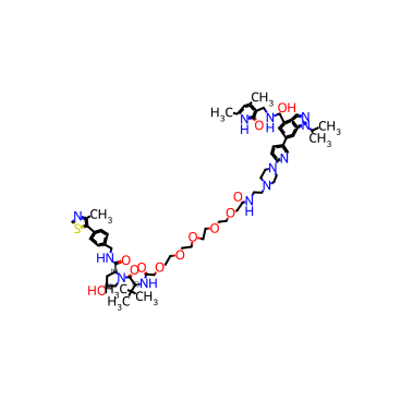 Cc1cc(C)c(CNC(O)c2cc(-c3ccc(N4CCN(CCNC(=O)COCCOCCOCCOCCOCC(=O)N[C@H](C(=O)N5C[C@H](O)C[C@H]5C(=O)NCc5ccc(-c6scnc6C)cc5)C(C)(C)C)CC4)nc3)cc3c2cnn3C(C)C)c(=O)[nH]1